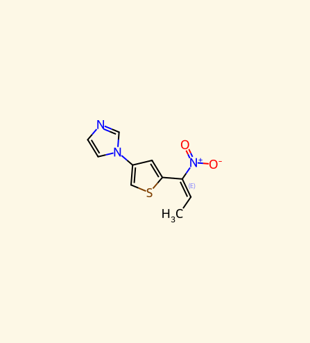 C/C=C(\c1cc(-n2ccnc2)cs1)[N+](=O)[O-]